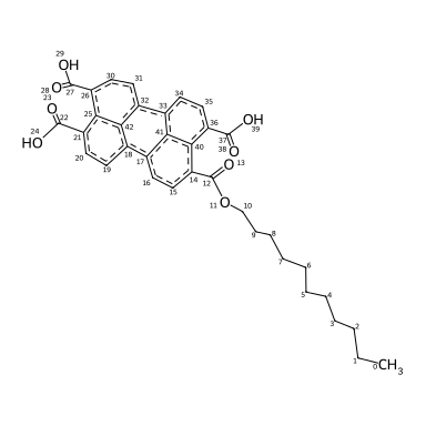 CCCCCCCCCCCOC(=O)c1ccc2c3ccc(C(=O)O)c4c(C(=O)O)ccc(c5ccc(C(=O)O)c1c52)c43